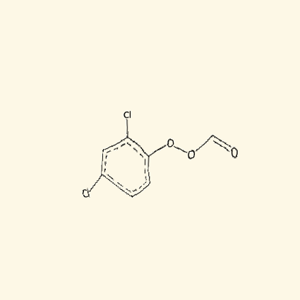 O=COOc1ccc(Cl)cc1Cl